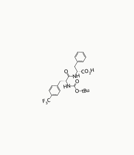 CC(C)(C)OC(=O)N[C@H](Cc1ccc(C(F)(F)F)cc1)C(=O)N[C@H](Cc1ccccc1)C(=O)O